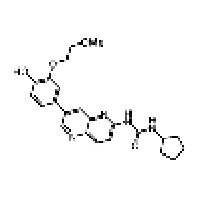 COCCOc1cc(-c2cnc3ccc(NC(=O)NC4CCCC4)nc3c2)ccc1O